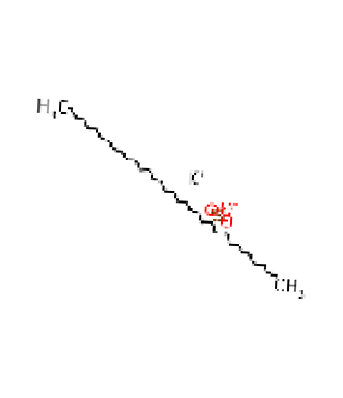 CCCCCCCCCCCCCCCCCCCCCCCC(CCCCCCCCCCC)S(=O)(=O)[O-].[K+]